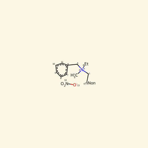 CCCCCCCCCC[N+](C)(CC)Cc1ccccc1.O=[N+]([O-])[O-]